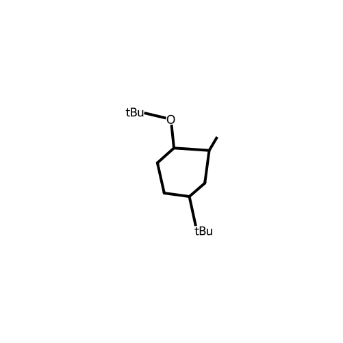 CC1CC(C(C)(C)C)CCC1OC(C)(C)C